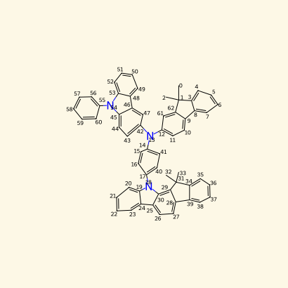 CC1(C)c2ccccc2-c2ccc(N(c3ccc(-n4c5ccccc5c5ccc6c(c54)C(C)(C)c4ccccc4-6)cc3)c3ccc4c(c3)c3ccccc3n4-c3ccccc3)cc21